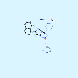 CN1CC[C@H](F)[C@H]1COc1nc(N2CCN(C(=O)O)[C@@H](CC#N)C2)c2cnc(-c3cccc4ccc(F)c(Cl)c34)c(F)c2n1